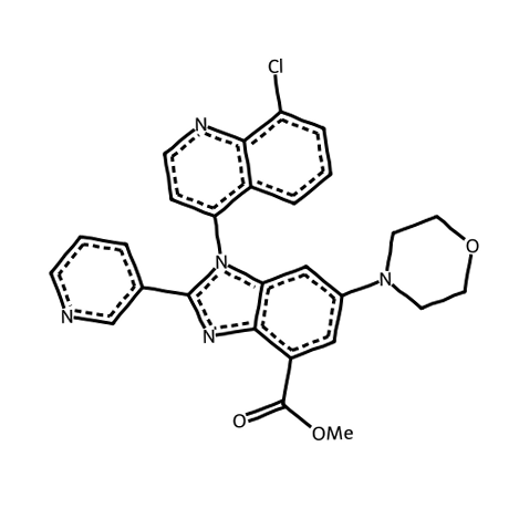 COC(=O)c1cc(N2CCOCC2)cc2c1nc(-c1cccnc1)n2-c1ccnc2c(Cl)cccc12